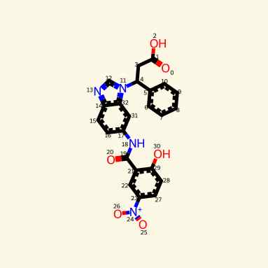 O=C(O)CC(c1ccccc1)n1cnc2ccc(NC(=O)c3cc([N+](=O)[O-])ccc3O)cc21